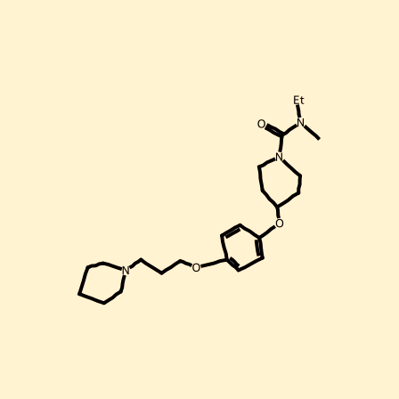 CCN(C)C(=O)N1CCC(Oc2ccc(OCCCN3CCCCC3)cc2)CC1